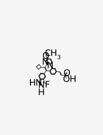 COc1ccnc(/C(=C(\c2ccc(/C=C/C(=O)O)cc2)c2ccc3c(c2)C(F)NN3)C2CCC2)n1